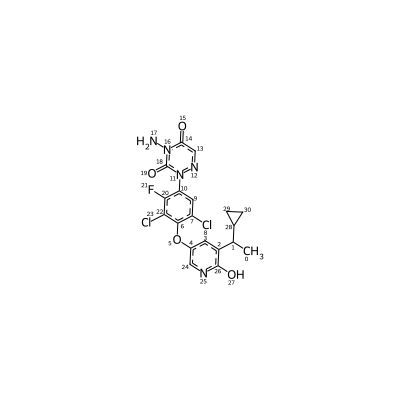 CC(c1cc(Oc2c(Cl)cc(-n3ncc(=O)n(N)c3=O)c(F)c2Cl)cnc1O)C1CC1